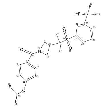 CC(C)(C1CN(C(=O)c2ccc(OC(F)F)cc2)C1)S(=O)(=O)c1cccc(C(F)(F)F)c1